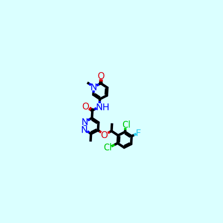 Cc1nnc(C(=O)Nc2ccc(=O)n(C)c2)cc1OC(C)c1c(Cl)ccc(F)c1Cl